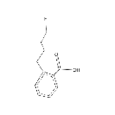 O=C(O)c1ccccc1CCCCF